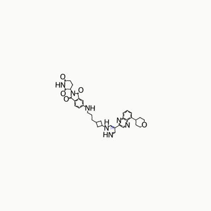 N=C/C(=C\NC1CC(CCCNc2ccc3c(c2)C(=O)N(C2CCC(=O)NC2=O)C3=O)C1)c1cnc2c(C3CCOCC3)cccc2n1